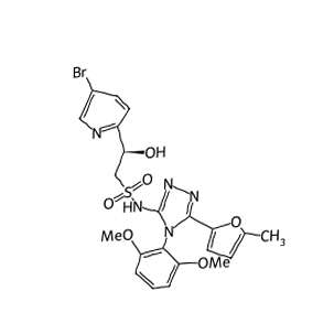 COc1cccc(OC)c1-n1c(NS(=O)(=O)C[C@H](O)c2ccc(Br)cn2)nnc1-c1ccc(C)o1